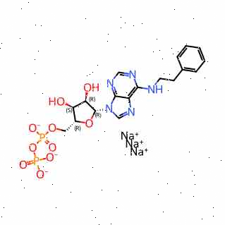 O=P([O-])([O-])OP(=O)([O-])OC[C@H]1O[C@@H](n2cnc3c(NCCc4ccccc4)ncnc32)[C@H](O)[C@@H]1O.[Na+].[Na+].[Na+]